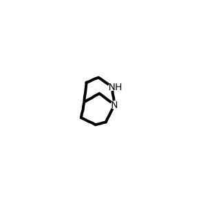 C1CC2CCNN(C1)C2